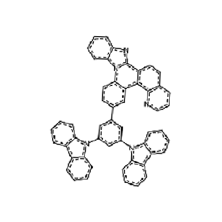 c1cnc2c(c1)ccc1c2c2cc(-c3cc(-n4c5ccccc5c5ccccc54)cc(-n4c5ccccc5c5ccccc54)c3)ccc2n2c3ccccc3nc12